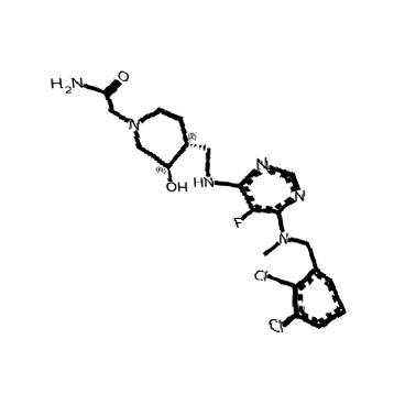 CN(Cc1cccc(Cl)c1Cl)c1ncnc(NC[C@H]2CCN(CC(N)=O)C[C@@H]2O)c1F